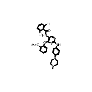 COc1ccccc1Oc1nc(Nc2ccc(N3CCN(C)CC3)cc2)ncc1NC(=O)c1c(Cl)cccc1Cl